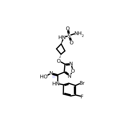 NS(=O)(=O)N[C@H]1C[C@H](Oc2nonc2/C(=N/O)Nc2ccc(F)c(Br)c2)C1